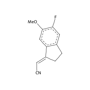 COc1cc2c(cc1F)CC/C2=C\C#N